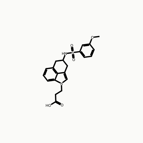 COc1cccc(S(=O)(=O)NC2Cc3cccc4c3c(cn4CCC(=O)O)C2)c1